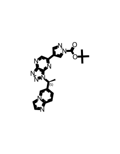 C[C@@H](c1ccc2nccn2c1)n1nnc2ncc(-c3cnn(C(=O)OC(C)(C)C)c3)nc21